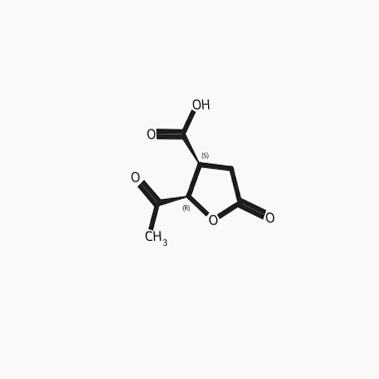 CC(=O)[C@@H]1OC(=O)C[C@@H]1C(=O)O